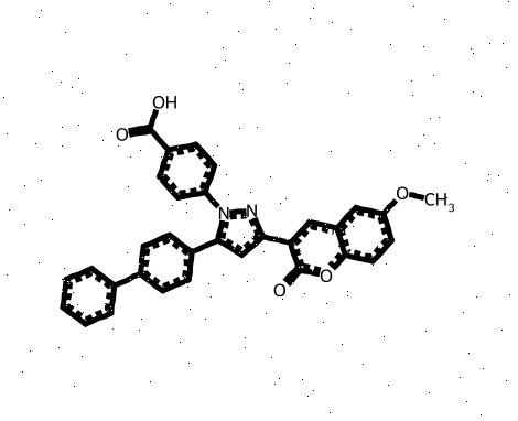 COc1ccc2oc(=O)c(-c3cc(-c4ccc(-c5ccccc5)cc4)n(-c4ccc(C(=O)O)cc4)n3)cc2c1